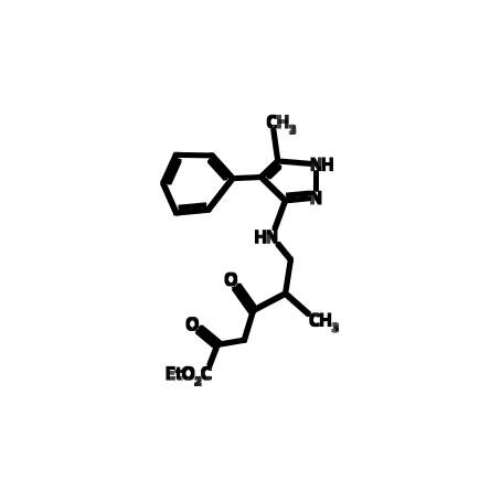 CCOC(=O)C(=O)CC(=O)C(C)CNc1n[nH]c(C)c1-c1ccccc1